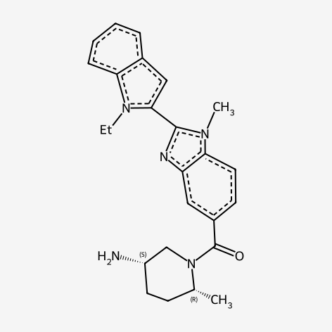 CCn1c(-c2nc3cc(C(=O)N4C[C@@H](N)CC[C@H]4C)ccc3n2C)cc2ccccc21